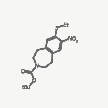 CCSc1cc2c(cc1[N+](=O)[O-])CCN(C(=O)OC(C)(C)C)CC2